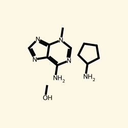 CO.Cn1cnc(N)c2ncnc1-2.NC1CCCC1